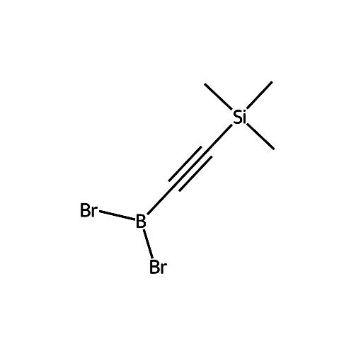 C[Si](C)(C)C#CB(Br)Br